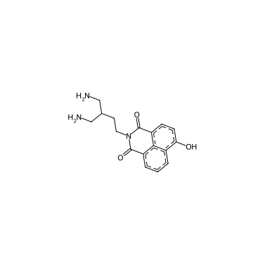 NCC(CN)CCN1C(=O)c2cccc3c(O)ccc(c23)C1=O